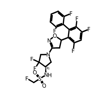 O=S(=O)(CF)N[C@@H]1CN(C2=NOC(c3c(F)cc(F)c(F)c3-c3c(F)cccc3F)C2)CC1(F)F